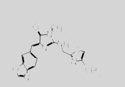 Cc1csc(CNC2=N/C(=C\c3ccc4ncoc4c3)C(=O)N2C)n1